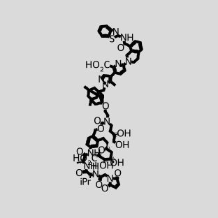 Cc1c(-c2ccc(N3CCc4cccc(C(=O)Nc5nc6ccccc6s5)c4C3)nc2C(=O)O)cnn1CC12CC3(C)CC(C)(C1)CC(OCCN(CC[C@H](O)CO)C(=O)OCc1ccc(NC(=O)[C@H](C)NC(=O)[C@@H](NC(=O)CN4C(=O)C=CC4=O)C(C)C)cc1CC[C@H]1C[C@@H](O)[C@H](O)[C@@H](C(=O)O)O1)(C3)C2